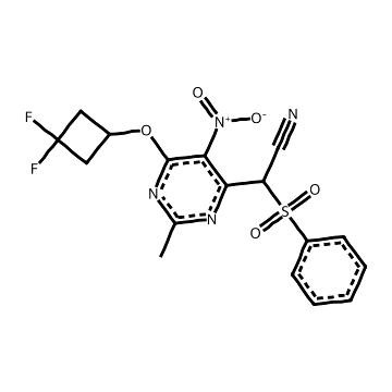 Cc1nc(OC2CC(F)(F)C2)c([N+](=O)[O-])c(C(C#N)S(=O)(=O)c2ccccc2)n1